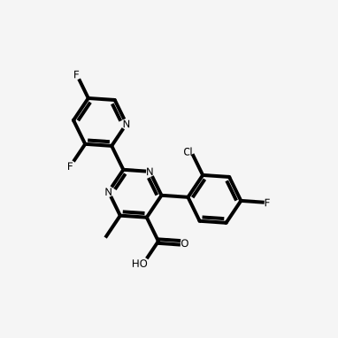 Cc1nc(-c2ncc(F)cc2F)nc(-c2ccc(F)cc2Cl)c1C(=O)O